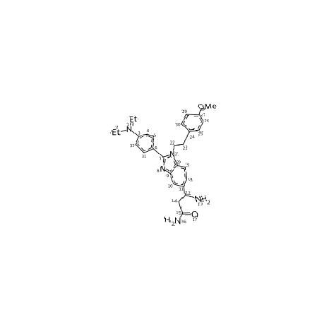 [CH2][CH]N([CH][CH2])c1ccc(-c2nc3cc(C(N)CC(N)=O)ccc3n2CCc2ccc(OC)cc2)cc1